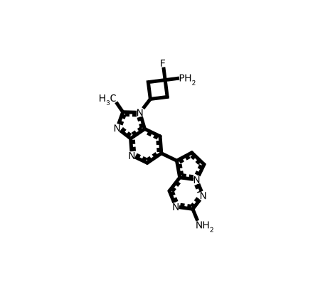 Cc1nc2ncc(-c3ccn4nc(N)ncc34)cc2n1C1CC(F)(P)C1